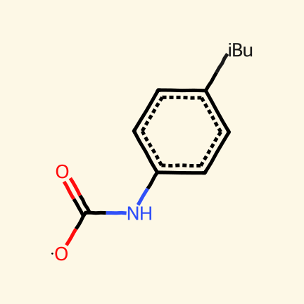 CCC(C)c1ccc(NC([O])=O)cc1